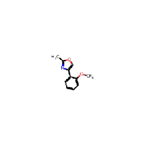 Cc1nc(-c2ccccc2OC(F)(F)F)co1